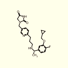 C[C@@H](NCCCc1ccc(CN2CC(=O)NC2=O)cn1)c1ccc(F)c(OCC2CC2)c1